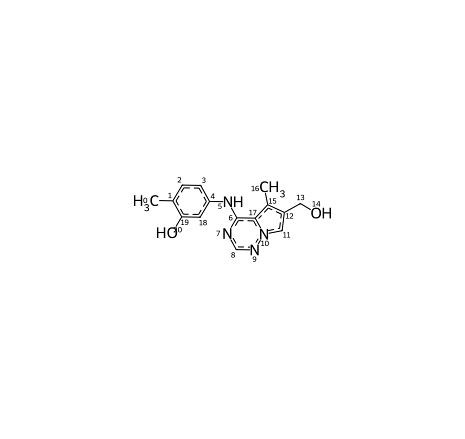 Cc1ccc(Nc2ncnn3cc(CO)c(C)c23)cc1O